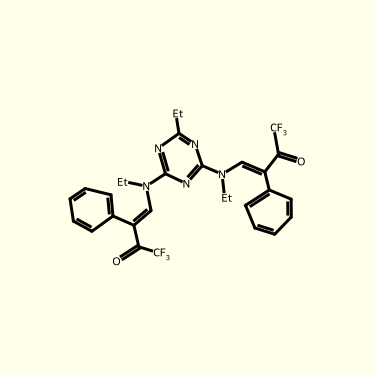 CCc1nc(N(/C=C(/C(=O)C(F)(F)F)c2ccccc2)CC)nc(N(/C=C(/C(=O)C(F)(F)F)c2ccccc2)CC)n1